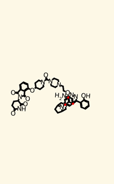 Nc1nnc(-c2ccccc2O)cc1N1CC2CCC(C1)N2c1cccc(OCCN2CCN(C(=O)N3CCC(Oc4cccc5c4C(=O)N(C4CCC(=O)NC4=O)C5=O)CC3)CC2)c1